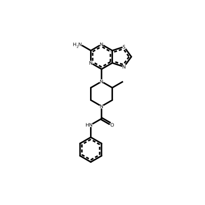 CC1CN(C(=O)Nc2ccccc2)CCN1c1nc(N)nc2scnc12